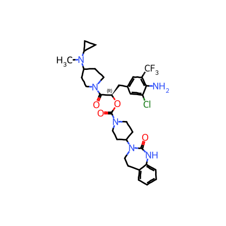 CN(C1CC1)C1CCN(C(=O)[C@@H](Cc2cc(Cl)c(N)c(C(F)(F)F)c2)OC(=O)N2CCC(N3CCc4ccccc4NC3=O)CC2)CC1